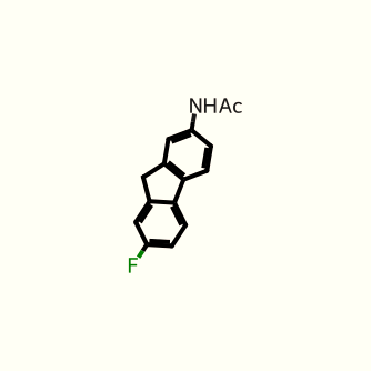 CC(=O)Nc1ccc2c(c1)Cc1cc(F)ccc1-2